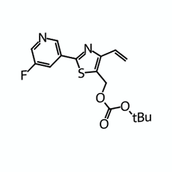 C=Cc1nc(-c2cncc(F)c2)sc1COC(=O)OC(C)(C)C